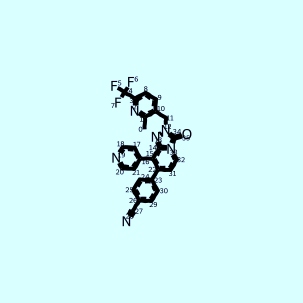 Cc1nc(C(F)(F)F)ccc1Cn1nc2c(-c3ccncc3)c(-c3ccc(C#N)cc3)ccn2c1=O